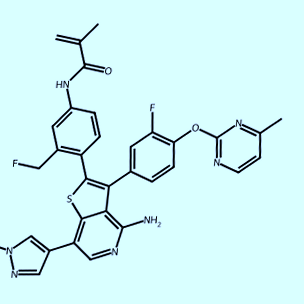 C=C(C)C(=O)Nc1ccc(-c2sc3c(-c4cnn(C)c4)cnc(N)c3c2-c2ccc(Oc3nccc(C)n3)c(F)c2)c(CF)c1